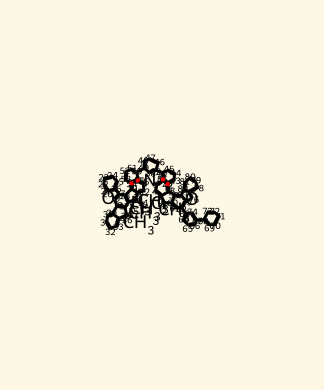 CC1(C)c2cc(N(c3ccc4c(c3)C(C)(C)c3c5c(c6oc7ccccc7c6c3-4)-c3ccccc3C5(C)C)c3c(-c4ccccc4)cccc3-c3ccccc3)ccc2-c2c1cc(-c1cccc(-c3ccccc3)c1)c1oc3ccccc3c21